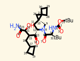 CC(C)(C)OC(=O)N[C@H](C(=O)N1C[C@]2(C[C@H]1C(=O)C(CC1CCC1)C(O)C(N)=O)CC21CCC1)C(C)(C)C